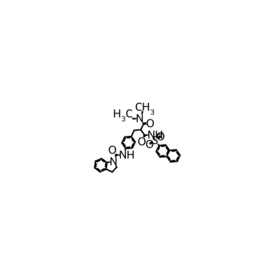 CCN(CC)C(=O)C(Cc1ccc(NC(=O)N2CCc3ccccc32)cc1)C(=O)NS(=O)(=O)c1ccc2ccccc2c1